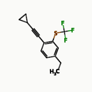 CCc1ccc(C#CC2CC2)c(SC(F)(F)F)c1